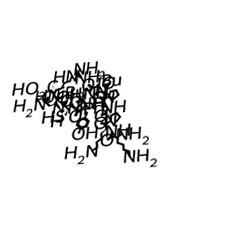 CC[C@H](C)[C@H](NC(=O)[C@@H](NC(=O)[C@@H]1CCCN1C(=O)[C@@H](NC(=O)[C@@H]1CCCN1C(=O)[C@H](CCCCN)NC(=O)[C@@H](N)CCCCN)C(C)C)[C@@H](C)CC)C(=O)N[C@@H](Cc1ccc(O)cc1)C(=O)N[C@@H](CS)C(=O)N[C@@H](CC(N)=O)C(=O)N[C@@H](CCCNC(=N)N)C(=O)O